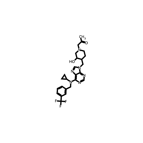 CC(=O)CN1CCC(Cn2cnc3c(N(Cc4cccc(C(F)(F)F)c4)C4CC4)ncnc32)C(O)C1